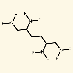 FN(F)CC(CCC(CN(F)F)N(F)F)N(F)F